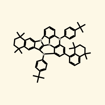 CC(C)(C)c1ccc(N2c3cc(-c4cccc5c4C(C)(C)CCC5(C)C)cc4c3B3c5c2cccc5-n2c3c(c3cc5c(cc32)C(C)(C)CCC5(C)C)N4c2ccc(C(C)(C)C)cc2)cc1